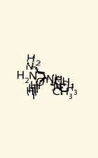 C[N+](C)(C)CNC(=O)C=C(N)CN.I.I.I.[I-]